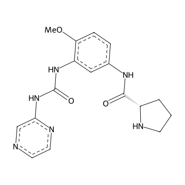 COc1ccc(NC(=O)[C@@H]2CCCN2)cc1NC(=O)Nc1cnccn1